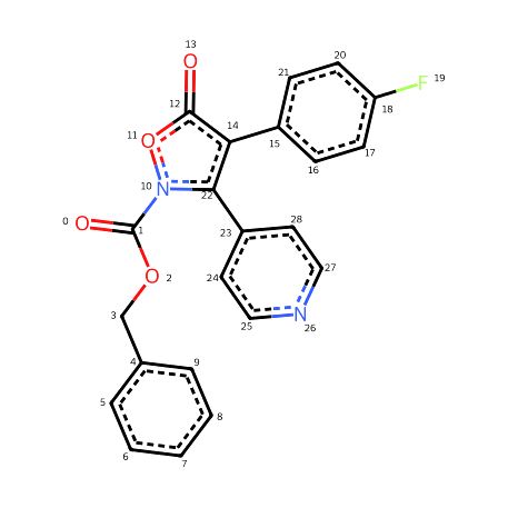 O=C(OCc1ccccc1)n1oc(=O)c(-c2ccc(F)cc2)c1-c1ccncc1